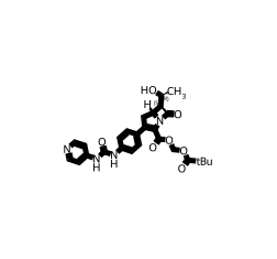 C[C@@H](O)[C@H]1C(=O)N2C(C(=O)OCOC(=O)C(C)(C)C)=C(c3ccc(NC(=O)Nc4ccncc4)cc3)C[C@H]12